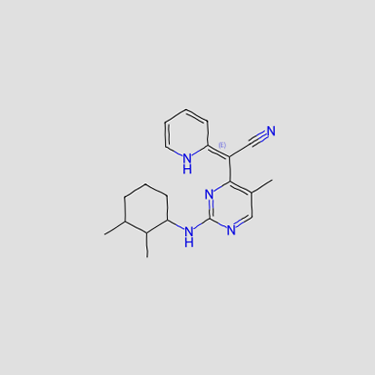 Cc1cnc(NC2CCCC(C)C2C)nc1/C(C#N)=C1/C=CC=CN1